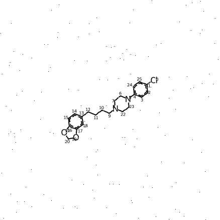 Clc1ccc(N2CCN(CCCCc3ccc4c(c3)OCO4)CC2)cc1